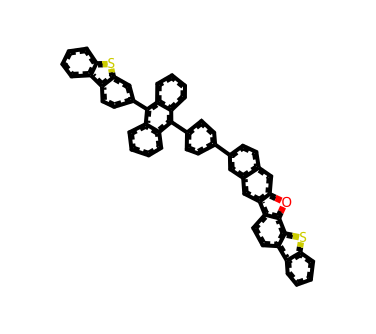 c1ccc2c(c1)sc1cc(-c3c4ccccc4c(-c4ccc(-c5ccc6cc7oc8c(ccc9c%10ccccc%10sc98)c7cc6c5)cc4)c4ccccc34)ccc12